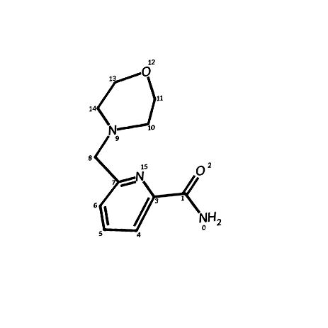 NC(=O)c1cccc(CN2CCOCC2)n1